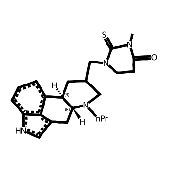 CCCN1CC(CN2CCC(=O)N(C)C2=S)C[C@@H]2c3cccc4[nH]cc(c34)C[C@H]21